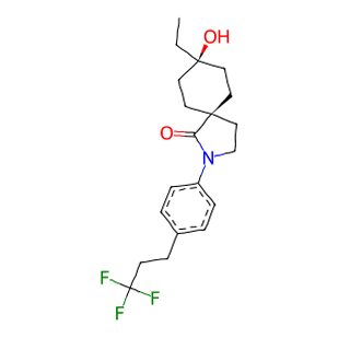 CC[C@]1(O)CC[C@]2(CCN(c3ccc(CCC(F)(F)F)cc3)C2=O)CC1